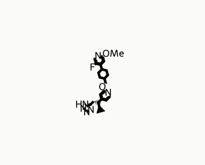 COc1cc(C2CCC(COc3cc([C@@H](Cc4nnn[nH]4)C4CC4)ccn3)CC2)c(F)cn1